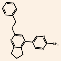 Nc1ncc(-c2cc(OCc3ccccn3)nc3c2CCC3)cn1